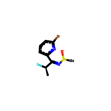 C[C@@H](F)/C(=N/[S+]([O-])C(C)(C)C)c1cccc(Br)n1